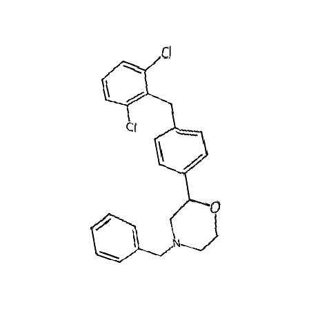 Clc1cccc(Cl)c1Cc1ccc(C2CN(Cc3ccccc3)CCO2)cc1